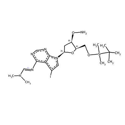 CN(C)/C=N/c1ncnc2c1c(I)cn2[C@H]1C[C@@H](ON)[C@@H](CO[Si](C)(C)C(C)(C)C)O1